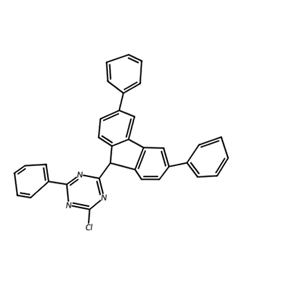 Clc1nc(-c2ccccc2)nc(C2c3ccc(-c4ccccc4)cc3-c3cc(-c4ccccc4)ccc32)n1